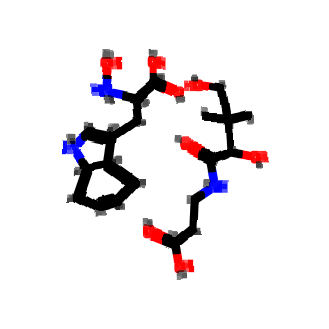 CC(C)(CO)C(O)C(=O)NCCC(=O)O.O=C(O)C(Cc1c[nH]c2ccccc12)NO